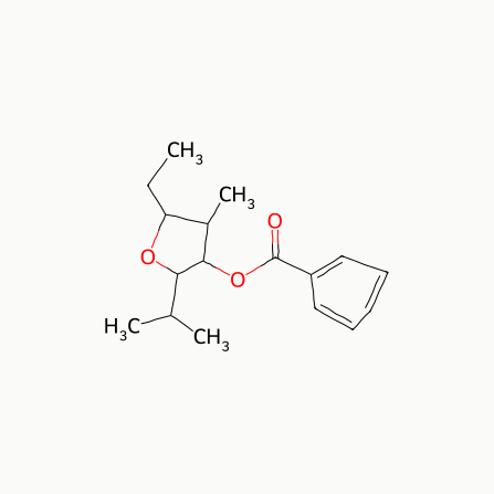 CCC1OC(C(C)C)C(OC(=O)c2ccccc2)C1C